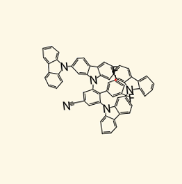 N#Cc1cc(-n2c3ccccc3c3ccc(-n4c5ccccc5c5ccccc54)cc32)c(-c2cc(F)cc(F)c2)c(-n2c3ccccc3c3ccc(-n4c5ccccc5c5ccccc54)cc32)c1